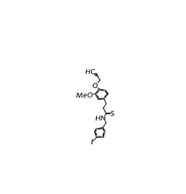 C#CCOc1ccc(CCC(=S)NCc2ccc(I)cc2)cc1OC